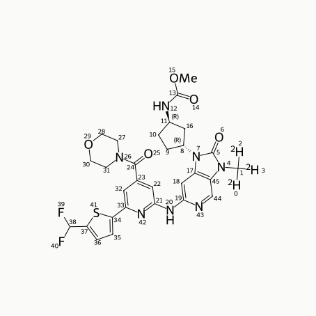 [2H]C([2H])([2H])n1c(=O)n([C@@H]2CC[C@@H](NC(=O)OC)C2)c2cc(Nc3cc(C(=O)N4CCOCC4)cc(-c4ccc(C(F)F)s4)n3)ncc21